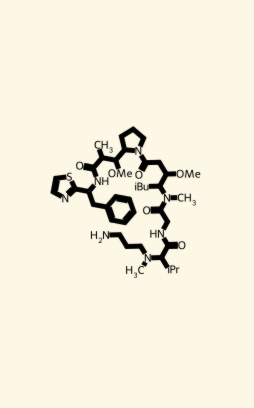 CCC(C)C(C(CC(=O)N1CCCC1C(OC)C(C)C(=O)NC(Cc1ccccc1)c1nccs1)OC)N(C)C(=O)CNC(=O)C(C(C)C)N(C)CCCN